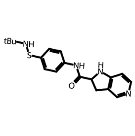 CC(C)(C)NSc1ccc(NC(=O)C2Cc3cnccc3N2)cc1